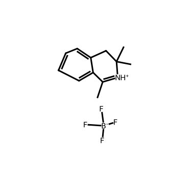 CC1=[NH+]C(C)(C)Cc2ccccc21.F[B-](F)(F)F